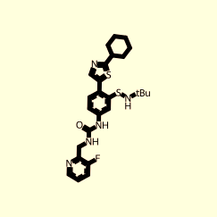 CC(C)(C)NSc1cc(NC(=O)NCc2ncccc2F)ccc1-c1cnc(C2CCCCC2)s1